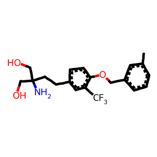 Cc1cccc(COc2ccc(CCC(N)(CO)CO)cc2C(F)(F)F)c1